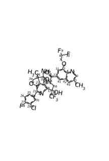 Cc1cnc2c(OCC(F)F)cc(C(=O)NCC(O)(c3cc4c(c(-c5ccc(F)c(Cl)c5)n3)OC[C@]4(C)C(N)=O)C(F)(F)F)cc2c1